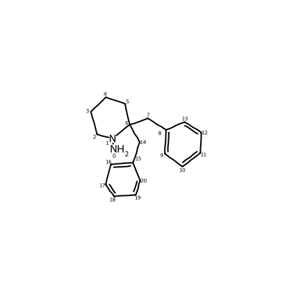 NN1CCCCC1(Cc1ccccc1)Cc1ccccc1